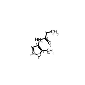 CCC(=O)Nc1cnoc1C